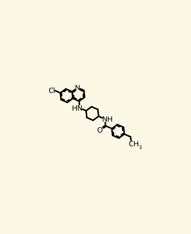 CCc1ccc(C(=O)NC2CCC(Nc3ccnc4cc(Cl)ccc34)CC2)cc1